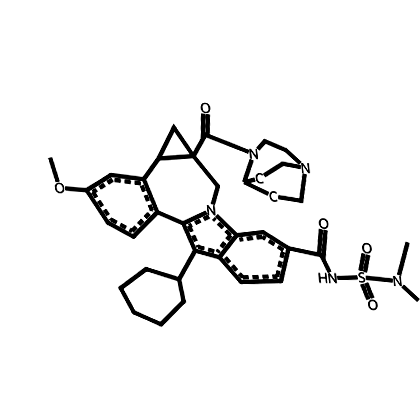 COc1ccc2c(c1)C1CC1(C(=O)N1CCN3CCC1CC3)Cn1c-2c(C2CCCCC2)c2ccc(C(=O)NS(=O)(=O)N(C)C)cc21